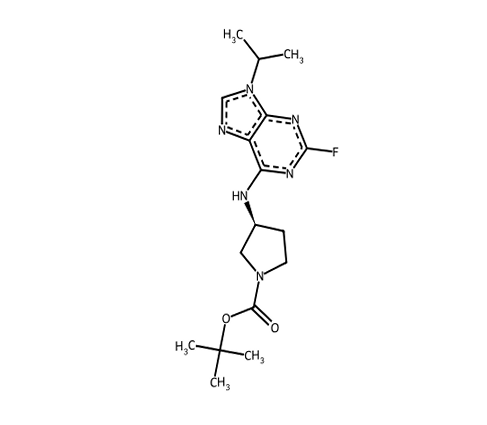 CC(C)n1cnc2c(N[C@H]3CCN(C(=O)OC(C)(C)C)C3)nc(F)nc21